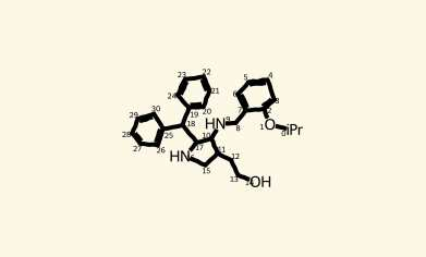 CC(C)Oc1ccccc1CNC1C(CCO)CNC1C(c1ccccc1)c1ccccc1